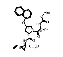 C=C[C@H]1C[C@@]1(NC(=O)[C@@H]1C[C@@H](Oc2cccc3ccccc23)CN1C(=O)[C@H](CC)NC(=O)OC(C)(C)C)C(=O)OCC